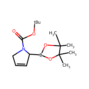 CC(C)(C)OC(=O)N1CC=CC1B1OC(C)(C)C(C)(C)O1